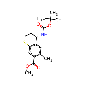 COC(=O)c1cc2c(cc1C)[C@@H](NC(=O)OC(C)(C)C)CCS2